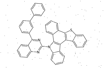 c1ccc(-c2cccc(-c3nc(-n4c5ccccc5c5c6c7ccccc7sc6c6ccccc6c54)nc4ccccc34)c2)cc1